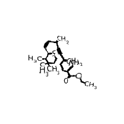 C=C(C#CC(=C)/C=C\[C@H]1SCCC(C)(C)C1C)/C=C\C(=C/N)C(=O)OCC